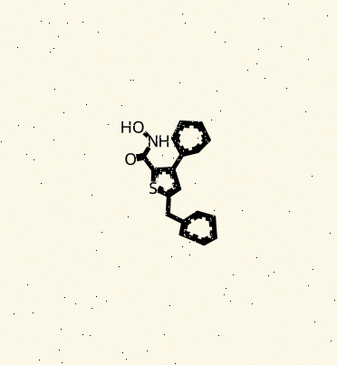 O=C(NO)c1sc(Cc2ccccc2)cc1-c1ccccc1